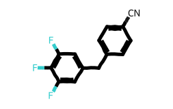 N#Cc1ccc(Cc2cc(F)c(F)c(F)c2)cc1